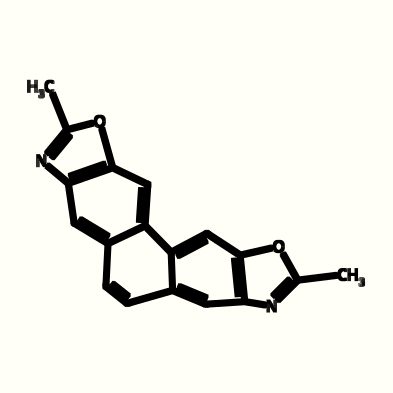 Cc1nc2cc3ccc4cc5nc(C)oc5cc4c3cc2o1